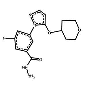 NNC(=O)c1cc(F)cc(-n2nccc2OC2CCOCC2)c1